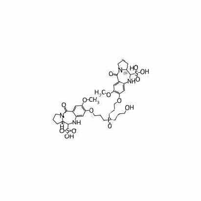 COc1cc2c(cc1OCCCP(=O)(CCCO)CCCOc1cc3c(cc1OC)C(=O)N1CCC[C@H]1C(S(=O)(=O)O)N3)NC(S(=O)(=O)O)[C@@H]1CCCN1C2=O